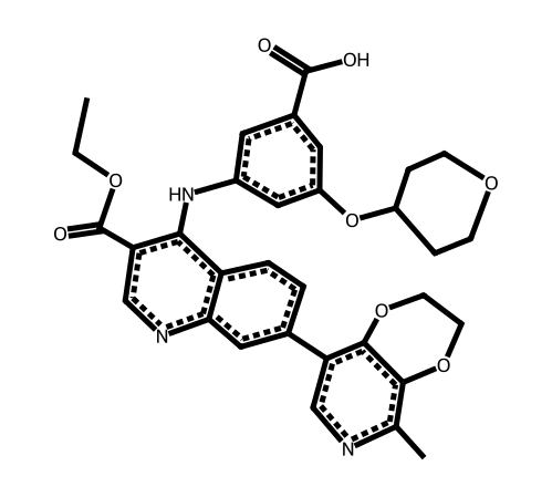 CCOC(=O)c1cnc2cc(-c3cnc(C)c4c3OCCO4)ccc2c1Nc1cc(OC2CCOCC2)cc(C(=O)O)c1